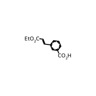 CCOC(=O)C=Cc1cccc(C(=O)O)c1